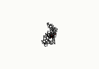 Cc1nc2c(F)c(-c3cccc(Cl)c3Cl)c(CCC#N)cc2c2c1cc([C@@H](C)N1CCCN(c3ccc(F)cc3)C1=O)n2[C@H]1[C@H]2CN[C@@H]1C2